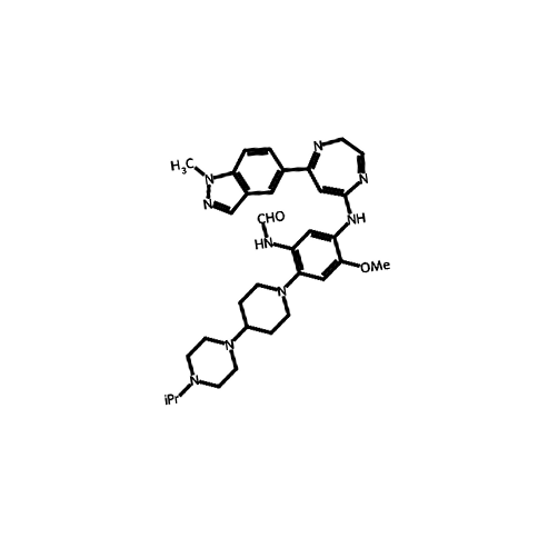 COc1cc(N2CCC(N3CCN(C(C)C)CC3)CC2)c(NC=O)cc1NC1=CC(c2ccc3c(cnn3C)c2)=NCC=N1